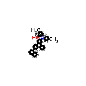 COc1cc(C)ccc1N(c1ccc(-c2ccc(-c3cccc4ccccc34)cc2)c(-c2ccccc2)c1)c1ccc(C)cc1O